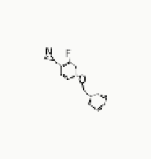 Fc1cc(OCc2ccccc2)ccc1C1C=N1